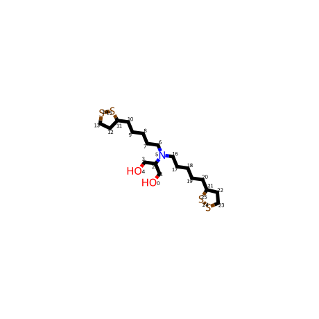 OCC(CO)N(CCCCCC1CCSS1)CCCCCC1CCSS1